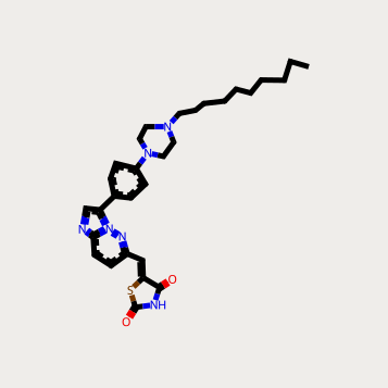 CCCCCCCCCCN1CCN(c2ccc(-c3cnc4ccc(/C=C5\SC(=O)NC5=O)nn34)cc2)CC1